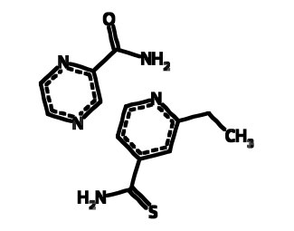 CCc1cc(C(N)=S)ccn1.NC(=O)c1cnccn1